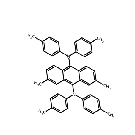 Cc1ccc(N(c2ccc(C)cc2)c2c3ccc(C)cc3c(N(c3ccc(C)cc3)c3ccc(C)cc3)c3cc(C)ccc23)cc1